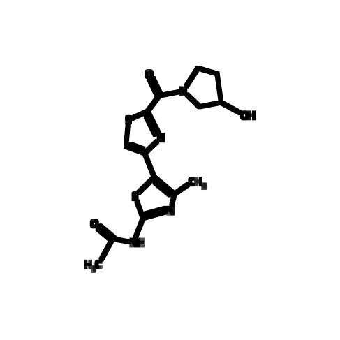 CC(=O)Nc1nc(C)c(-c2csc(C(=O)N3CCC(O)C3)n2)s1